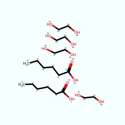 CCCCCC(=O)O.CCCCCC(=O)O.OCCO.OCCO.OCCO.OCCO